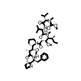 CC[C@H](C)[C@@H]([C@@H](CC(=O)N1CCC[C@H]1[C@H](OC)[C@@H](C)C(=O)N[C@@H](Cc1ccccc1)c1nccs1)OC)N(C)C(=O)[C@@H](NC(=O)[C@H](C(C)C)N(C)C(=O)OC)C(C)C